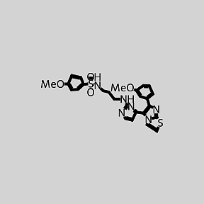 COc1ccc(S(=O)(=O)NCCCNc2nccc(-c3c(-c4cccc(OC)c4)nc4sccn34)n2)cc1